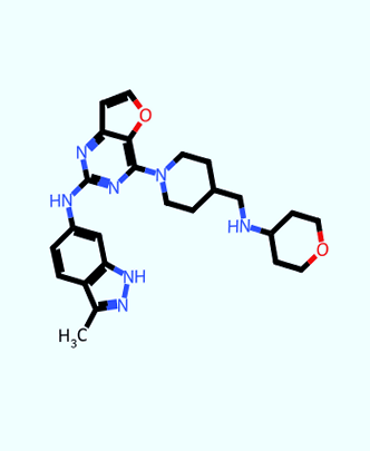 Cc1n[nH]c2cc(Nc3nc(N4CCC(CNC5CCOCC5)CC4)c4occc4n3)ccc12